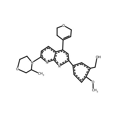 COc1ccc(-c2cc(C3=CCOCC3)c3ccc(N4CCOCC4C)nc3n2)cc1CO